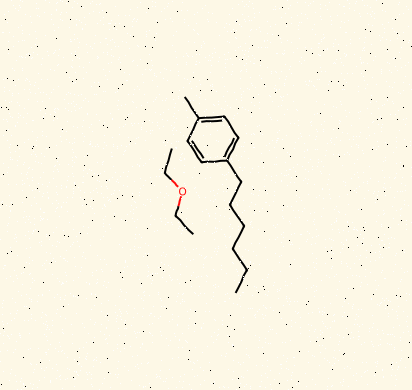 CCCCCCc1ccc(C)cc1.CCOCC